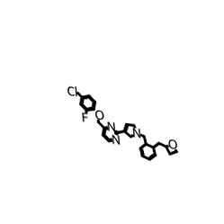 Fc1cc(Cl)ccc1OCc1ccnc(C2=CCN(CC3C=CC=CC3CC3CCO3)C2)n1